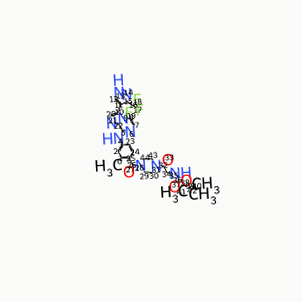 Cc1cc(Nc2nccn3c(-c4c[nH]nc4C(F)(F)F)cnc23)ccc1C(=O)N1CCN(C(=O)CNC(=O)OC(C)(C)C)CC1